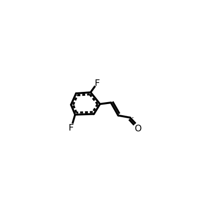 O=[C]/C=C/c1cc(F)ccc1F